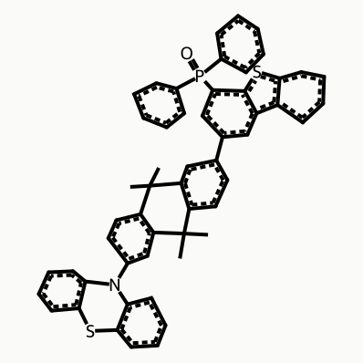 CC1(C)c2ccc(N3c4ccccc4Sc4ccccc43)cc2C(C)(C)c2ccc(-c3cc(P(=O)(c4ccccc4)c4ccccc4)c4sc5ccccc5c4c3)cc21